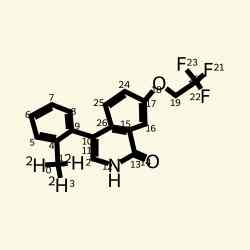 [2H]C([2H])([2H])c1ccccc1-c1c[nH]c(=O)c2cc(OCC(F)(F)F)ccc12